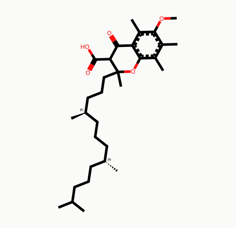 COc1c(C)c(C)c2c(c1C)C(=O)C(C(=O)O)C(C)(CCC[C@H](C)CCC[C@H](C)CCCC(C)C)O2